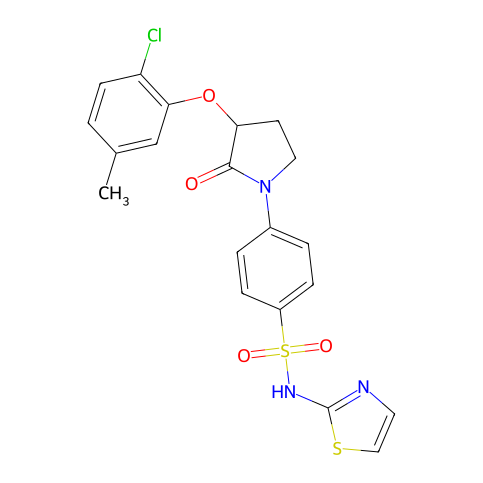 Cc1ccc(Cl)c(OC2CCN(c3ccc(S(=O)(=O)Nc4nccs4)cc3)C2=O)c1